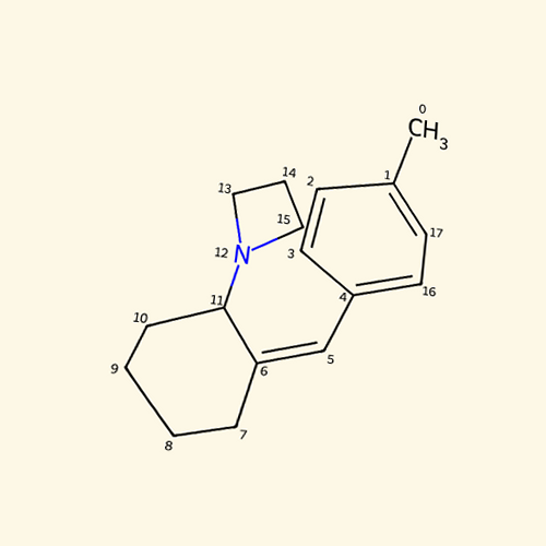 Cc1ccc(/C=C2/CCCCC2N2CCC2)cc1